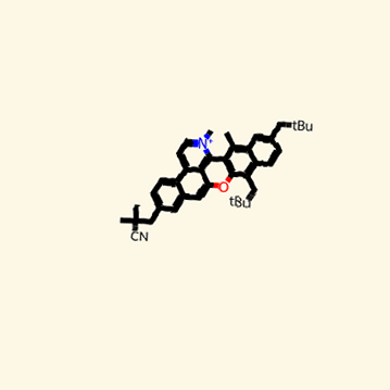 Cc1c2c(c(CC(C)(C)C)c3ccc(CC(C)(C)C)cc13)Oc1cc3cc(CC(C)(C)C#N)ccc3c3cc[n+](C)c-2c13